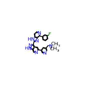 CN(C)Cc1cncc(-c2cc3c(-c4nc5c(-c6cccc(F)c6)nccc5[nH]4)n[nH]c3cn2)c1